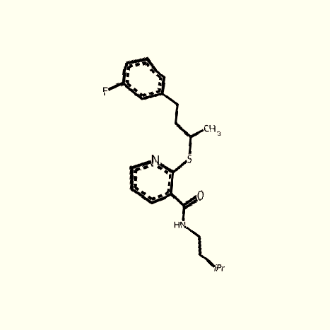 CC(C)CCNC(=O)c1cccnc1SC(C)CCc1cccc(F)c1